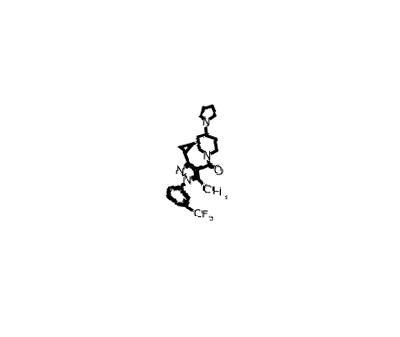 Cc1c(C(=O)N2CCC(N3CCCC3)CC2)c(C2CC2)nn1-c1cccc(C(F)(F)F)c1